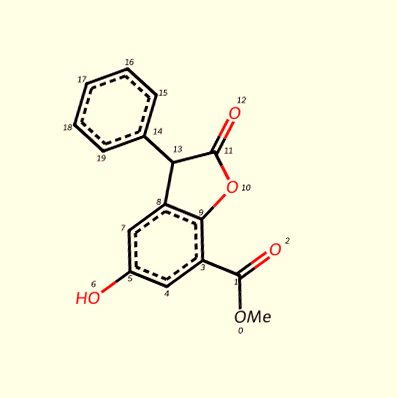 COC(=O)c1cc(O)cc2c1OC(=O)C2c1ccccc1